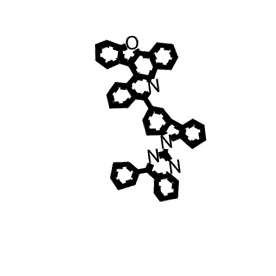 c1ccc(-c2nc(-n3c4ccccc4c4cc(-c5nc6c7ccccc7c7oc8ccccc8c7c6c6ccccc56)ccc43)nc3ccccc23)cc1